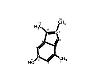 CC1=CN(O)C=C2C1=CS(C)=C2C